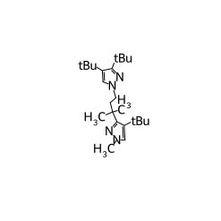 Cn1cc(C(C)(C)C)c(C(C)(C)CCn2cc(C(C)(C)C)c(C(C)(C)C)n2)n1